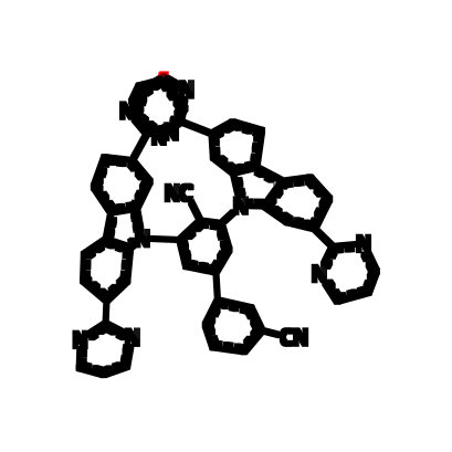 N#Cc1cccc(-c2cc(-n3c4cc(-c5ncccn5)ccc4c4ccc(-c5ncccn5)cc43)c(C#N)c(-n3c4cc(-c5ncccn5)ccc4c4ccc(-c5ncccn5)cc43)c2)c1